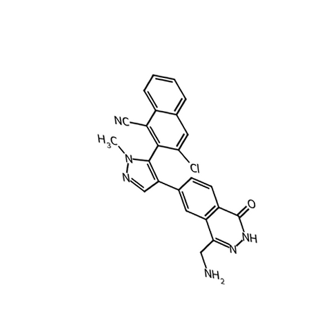 Cn1ncc(-c2ccc3c(=O)[nH]nc(CN)c3c2)c1-c1c(Cl)cc2ccccc2c1C#N